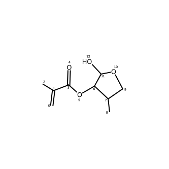 C=C(C)C(=O)OC1C(C)COC1O